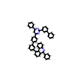 c1ccc(-c2cccc(-c3nc(-c4ccccc4)cc(-c4ccc(-c5cccc(-c6cccc7c(-c8ccccc8)nc8ccccc8c67)c5)cc4)n3)c2)cc1